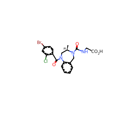 C[C@@H]1CN(C(=O)c2ccc(Br)cc2Cl)c2ccccc2CN1C(=O)NCC(=O)O